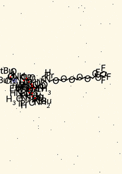 CC[C@H](NC(=O)[C@H](C)NC(=O)[C@H](CC(C)C)NC(=O)[C@H](CC(=O)OC(C)(C)C)NC(=O)CNC(=O)c1cccc(N/C(=N/C(=O)OC(C)(C)C)NC(=O)OC(C)(C)C)c1)C(=O)N[C@@H](CC(C)C)C(=O)N[C@@H](CCCNC(N)=O)C(=O)NC(C)(C)C(=O)N[C@@H](CC(C)C)C(=O)NCCOCCOCCOCCOCCOCCC(=O)Oc1c(F)c(F)cc(F)c1F